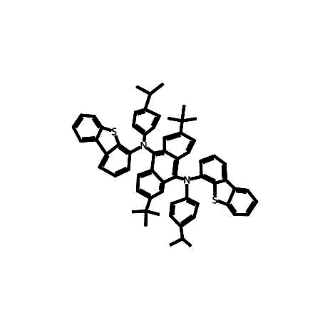 CC(C)c1ccc(N(c2c3ccc(C(C)(C)C)cc3c(N(c3ccc(C(C)C)cc3)c3cccc4c3sc3ccccc34)c3ccc(C(C)(C)C)cc23)c2cccc3c2sc2ccccc23)cc1